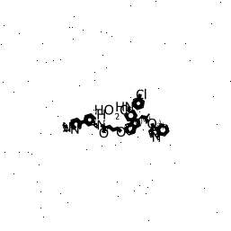 C[C@@H](COc1ccnc2c1[C@H](C)CCC2)C[C@H]1Cc2ccc(OCCCC(=O)NCc3cccc(-c4ccc(N(C)C)nc4)c3)cc2C12CCC(Nc1cccc(Cl)c1)(C(=O)O)CC2